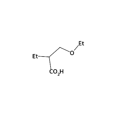 CCOCC(CC)C(=O)O